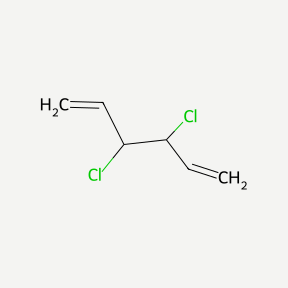 C=CC(Cl)C(Cl)C=C